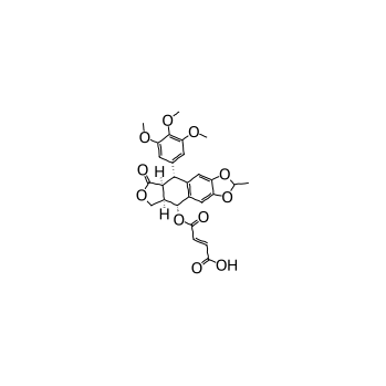 COc1cc([C@@H]2c3cc4c(cc3[C@H](OC(=O)/C=C/C(=O)O)[C@H]3COC(=O)[C@@H]23)OC(C)O4)cc(OC)c1OC